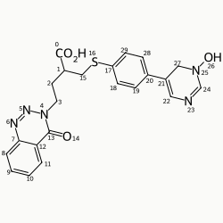 O=C(O)C(CCn1nnc2ccccc2c1=O)CSc1ccc(C2=CN=CN(O)C2)cc1